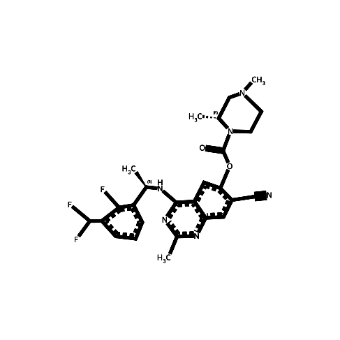 Cc1nc(N[C@H](C)c2cccc(C(F)F)c2F)c2cc(OC(=O)N3CCN(C)C[C@H]3C)c(C#N)cc2n1